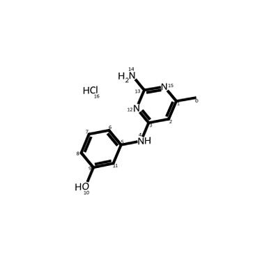 Cc1cc(Nc2cccc(O)c2)nc(N)n1.Cl